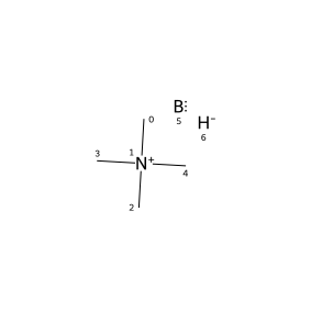 C[N+](C)(C)C.[B].[H-]